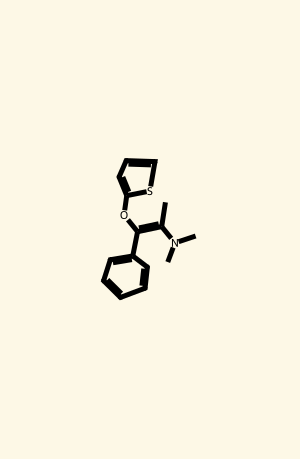 CC(=C(Oc1cccs1)c1ccccc1)N(C)C